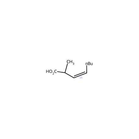 CCCC/C=C\C(C)C(=O)O